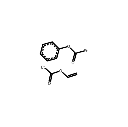 C=COC(=O)CC.CCC(=O)Oc1ccccc1